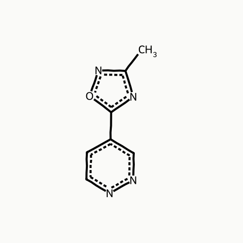 Cc1noc(-c2ccnnc2)n1